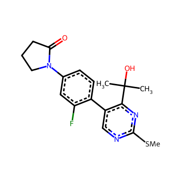 CSc1ncc(-c2ccc(N3CCCC3=O)cc2F)c(C(C)(C)O)n1